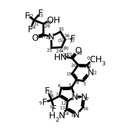 Cc1ncc(-c2cc(C(F)(F)F)c3c(N)ncnn23)cc1C(=O)N[C@@H]1CN(C(=O)C(O)C(F)(F)F)C[C@@H]1F